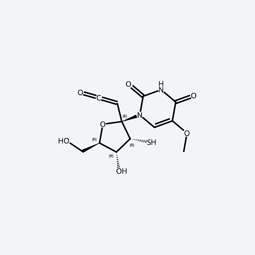 COc1cn([C@]2(C=C=O)O[C@H](CO)[C@@H](O)[C@H]2S)c(=O)[nH]c1=O